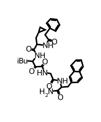 CCC(C)C(NC(=O)C(CC1CC1)NC(=O)Cc1ccccc1)C(=O)C(=O)NCC(=O)NC(Cc1ccc2ccccc2c1)C(N)=O